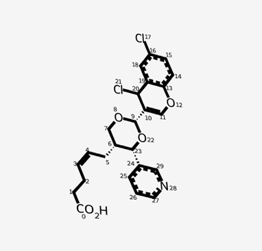 O=C(O)CC/C=C\C[C@@H]1CO[C@H](C2=COc3ccc(Cl)cc3C2Cl)O[C@@H]1c1cccnc1